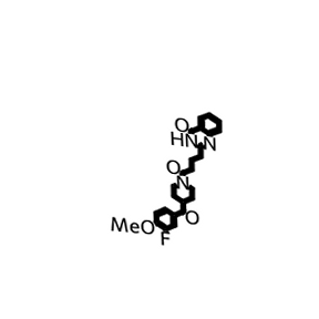 COc1ccc(C(=O)C2CCN(C(=O)CCCc3nc4ccccc4c(=O)[nH]3)CC2)cc1F